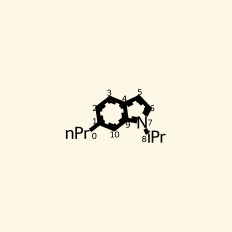 CCCc1ccc2ccn(C(C)C)c2c1